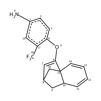 Nc1ccc(OC2=CC3CC4C=CC=CC24C3)c(C(F)(F)F)c1